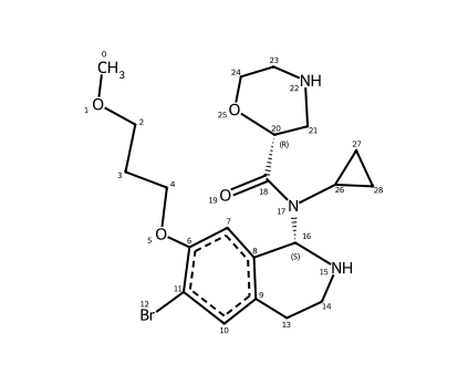 COCCCOc1cc2c(cc1Br)CCN[C@H]2N(C(=O)[C@H]1CNCCO1)C1CC1